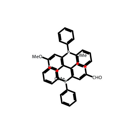 COc1cc(P(c2ccccc2)c2ccccc2)c(-c2c(P(c3ccccc3)c3ccccc3)cc(C=O)nc2OC)c(OC)n1